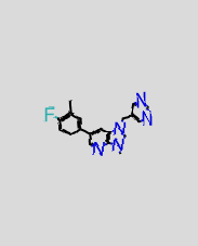 Cc1cc(-c2cnc3c(c2)N(Cc2cncnc2)CN3C)ccc1F